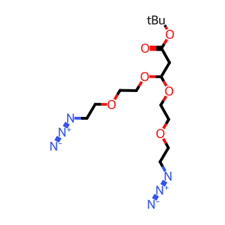 CC(C)(C)OC(=O)CC(OCCOCCN=[N+]=[N-])OCCOCCN=[N+]=[N-]